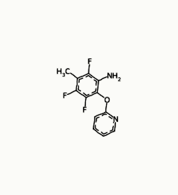 Cc1c(F)c(N)c(Oc2ccccn2)c(F)c1F